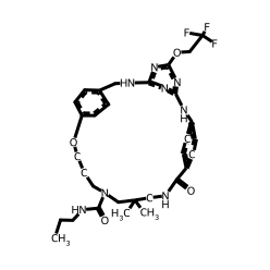 CCCNC(=O)N1CCCOc2ccc(cc2)CNc2nc(nc(OCC(F)(F)F)n2)Nc2ccc(cc2)C(=O)NCC(C)(C)C1